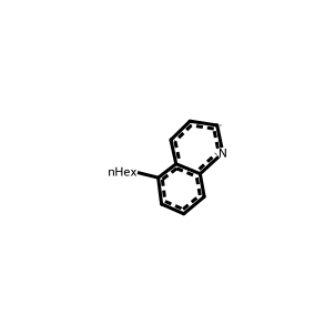 CCCCCCc1cccc2n[c]ccc12